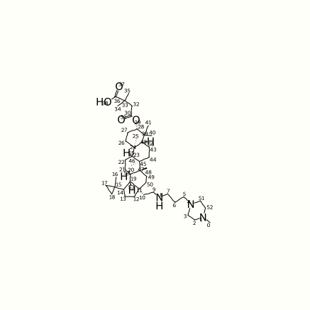 CN1CCN(CCCNCC[C@]23CCC(C4(C)CC4)[C@@H]2[C@H]2CC[C@@H]4[C@@]5(C)CC[C@H](OC(=O)CC(C)(C)C(=O)O)C(C)(C)[C@@H]5CC[C@@]4(C)[C@]2(C)CC3)CC1